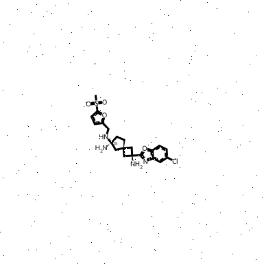 CS(=O)(=O)c1ccc(CN[C@@]2(N)CC[C@]3(C2)C[C@@](N)(c2nc4cc(Cl)ccc4o2)C3)o1